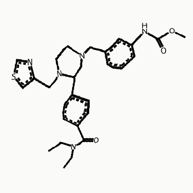 CCN(CC)C(=O)c1ccc(C2CN(Cc3cccc(NC(=O)OC)c3)CCN2Cc2cscn2)cc1